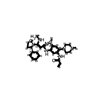 C=CC(=O)Nc1cc(NC(=N)/C=C(\NN)N2OCC[C@@H]2c2ccccc2)c(OC)cc1N1CCN(C)CC1